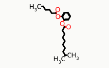 CCCCCC(=O)Oc1ccccc1OC(=O)CCCCCCCC(C)C